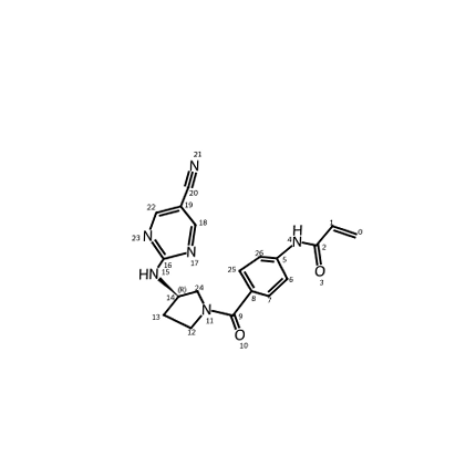 C=CC(=O)Nc1ccc(C(=O)N2CC[C@@H](Nc3ncc(C#N)cn3)C2)cc1